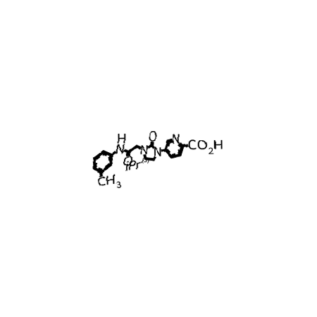 Cc1cccc(NC(=O)CN2C(=O)N(c3ccc(C(=O)O)nc3)C[C@@H]2C(C)C)c1